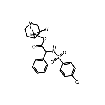 O=C(O[C@H]1CN2CCC1CC2)C(NS(=O)(=O)c1ccc(Cl)cc1)c1ccccc1